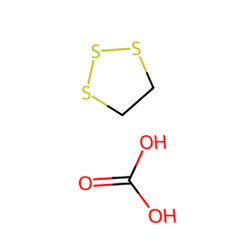 C1CSSS1.O=C(O)O